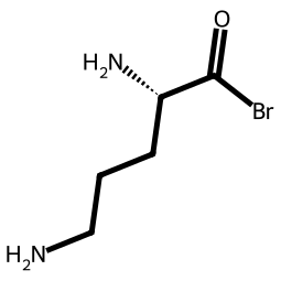 NCCC[C@H](N)C(=O)Br